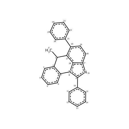 CC1c2ccccc2-n2c(-c3ccccc3)nc3ccc(-c4ccccc4)c1c32